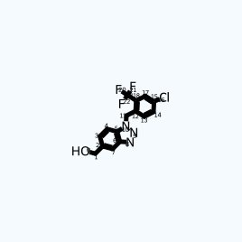 OCc1ccc2c(c1)nnn2Cc1ccc(Cl)cc1C(F)(F)F